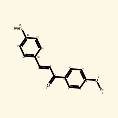 CCOc1ccc(C(=O)/C=C/c2ccc(SC)cc2)cc1